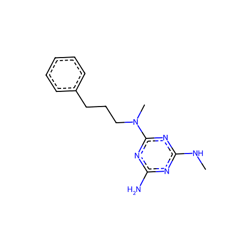 CNc1nc(N)nc(N(C)CCCc2ccccc2)n1